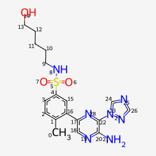 Cc1ccc(S(=O)(=O)NCCCCCO)cc1-c1cnc(N)c(-n2cncn2)n1